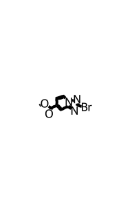 COC(=O)c1ccn2nc(Br)nc2c1